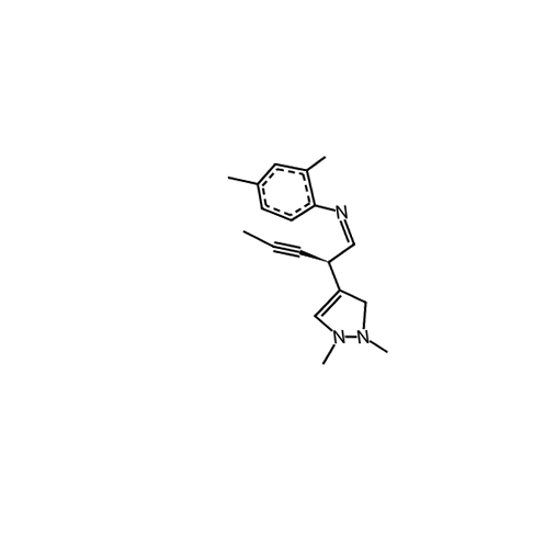 CC#C[C@@H](/C=N\c1ccc(C)cc1C)C1=CN(C)N(C)C1